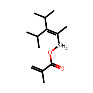 C=C(C)C(=O)O[SiH2]C(C)=C(C(C)C)C(C)C